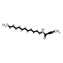 CC#CC(=O)NCCCCCCCCCCCC